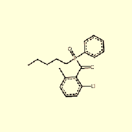 CCCCCP(=O)(C(=O)c1c(C)cccc1Cl)c1ccccc1